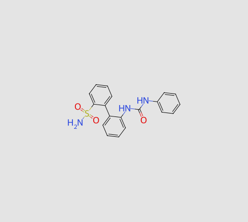 NS(=O)(=O)c1ccccc1-c1ccccc1NC(=O)Nc1ccccc1